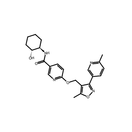 Cc1ccc(-c2noc(C)c2COc2ccc(C(=O)N[C@@H]3CCCC[C@H]3O)cn2)cn1